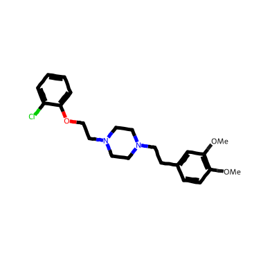 COc1ccc(CCN2CCN(CCOc3ccccc3Cl)CC2)cc1OC